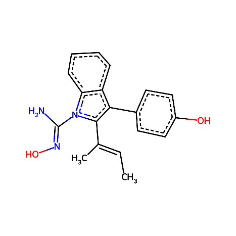 CC=C(C)c1c(-c2ccc(O)cc2)c2ccccc2n1C(N)=NO